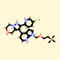 C[Si](C)(C)CCOCn1ccc2c(-c3c(-c4ccc(F)cn4)nn4c3COCC4)ccnc21